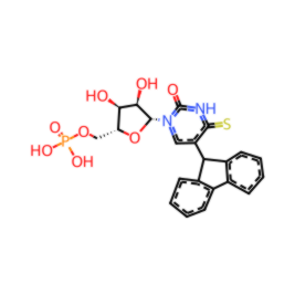 O=c1[nH]c(=S)c(C2c3ccccc3-c3ccccc32)cn1[C@@H]1O[C@H](COP(=O)(O)O)[C@@H](O)[C@H]1O